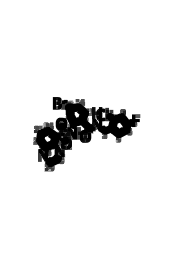 O=C(NCc1ccc(F)cc1Cl)c1ccc(Br)cc1NS(=O)(=O)c1cccc2nccnc12